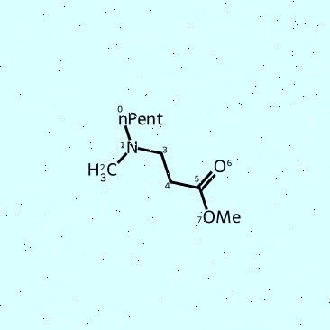 CCCCCN(C)CCC(=O)OC